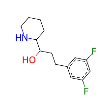 OC(CCc1cc(F)cc(F)c1)C1CCCCN1